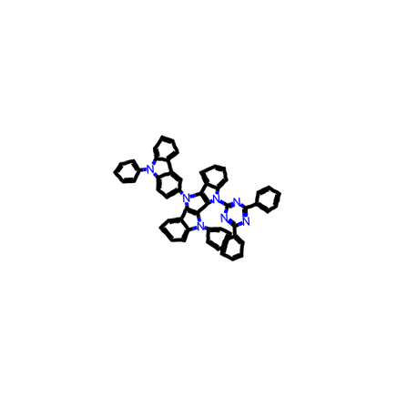 c1ccc(-c2nc(-c3ccccc3)nc(-n3c4ccccc4c4c3c3c(c5ccccc5n3-c3ccccc3)n4-c3ccc4c(c3)c3ccccc3n4-c3ccccc3)n2)cc1